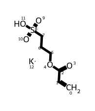 C=CC(=O)OCCCS(=O)(=O)O.[K]